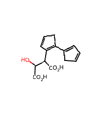 O=C(O)C(O)C(C(=O)O)C1=C(C2=CC=CC2)CC=C1